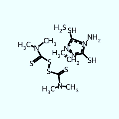 C=C.CN(C)C(=S)SSC(=S)N(C)C.Nn1c(S)nnc1S.S